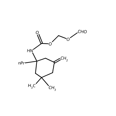 C=C1CC(C)(C)CC(CCC)(NC(=O)OCOC=O)C1